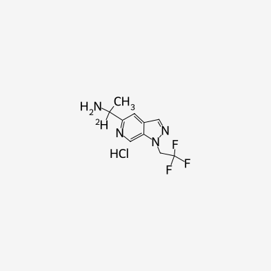 Cl.[2H]C(C)(N)c1cc2cnn(CC(F)(F)F)c2cn1